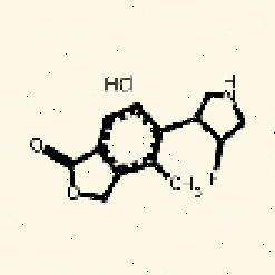 Cc1c(C2CNCC2F)ccc2c1COC2=O.Cl